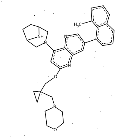 Cc1cccc2cccc(-c3cnc4c(N5CC6CCC(C5)N6)nc(OCC5(CN6CCOCC6)CC5)nc4c3)c12